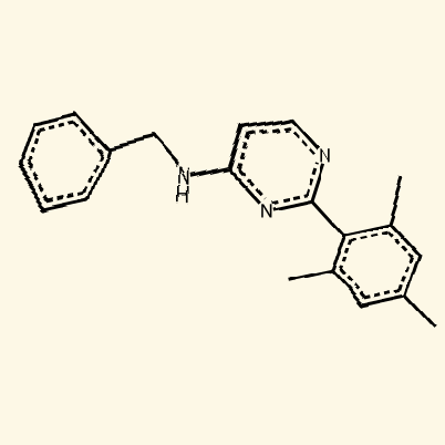 Cc1cc(C)c(-c2nccc(NCc3ccccc3)n2)c(C)c1